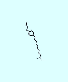 C=CCOc1ccc(CCCCCCCCCC(C)C)cc1